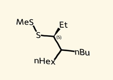 CCCCCCC(CCCC)[C@H](CC)SSC